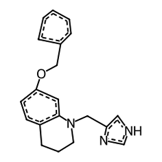 c1ccc(COc2ccc3c(c2)N(Cc2c[nH]cn2)CCC3)cc1